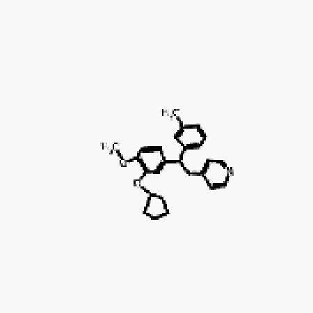 COc1ccc(C(Cc2ccncc2)c2cccc(C)c2)cc1OC1CCCC1